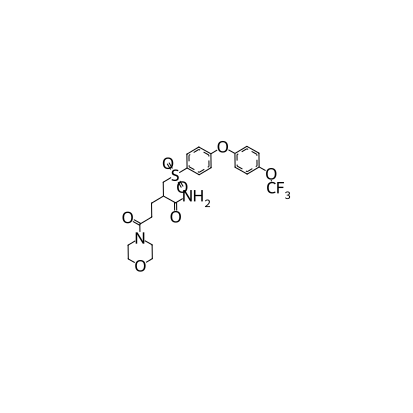 NC(=O)C(CCC(=O)N1CCOCC1)CS(=O)(=O)c1ccc(Oc2ccc(OC(F)(F)F)cc2)cc1